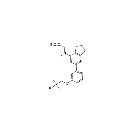 CCOC(=O)CN(C)c1nc(-c2cc(OCC(C)(C)O)ccn2)nc2c1CCC2